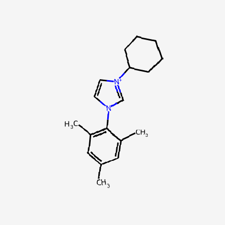 Cc1cc(C)c(-n2cc[n+](C3CCCCC3)c2)c(C)c1